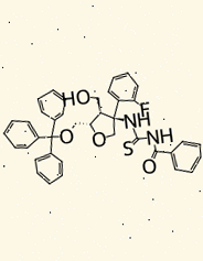 O=C(NC(=S)N[C@@]1(c2ccccc2F)CO[C@H](COC(c2ccccc2)(c2ccccc2)c2ccccc2)[C@H]1CO)c1ccccc1